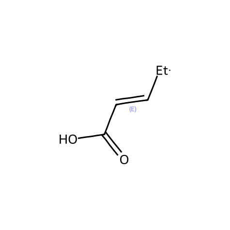 C[CH]/C=C/C(=O)O